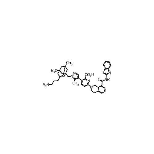 Cc1c(-c2ccc(N3CCc4cccc(C(=O)Nc5nc6ccccc6s5)c4C3)nc2C(=O)O)cnn1CC12CC3(C)CC(C)(CC(CCCN)(C3)C1)C2